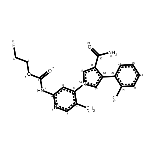 Cc1cnc(NC(=O)OCCF)cc1-n1cc(C(N)=O)c(-c2ccccc2Cl)c1